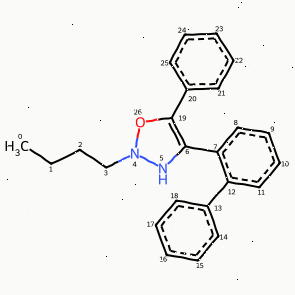 CCCCN1NC(c2ccccc2-c2ccccc2)=C(c2ccccc2)O1